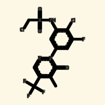 Cc1c(C(F)(F)F)cnn(-c2cc(F)c(Cl)c(NS(=O)(=O)CCl)c2)c1=O